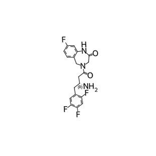 N[C@@H](CC(=O)N1CC(=O)Nc2cc(F)ccc2C1)Cc1cc(F)c(F)cc1F